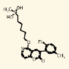 CCc1ccc(C)cc1-c1cc2c(OCCCCCC[Si](C)(O)O)nccc2oc1=O